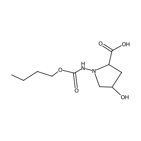 CCCCOC(=O)NN1CC(O)CC1C(=O)O